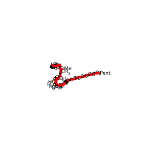 CCCCCOCCOCCOCCOCCOCCOCCOCCOCCOC1CCC(CCC(CCC(C)/C=C(\C)C(O)CC(=O)C(C)CC(C)/C=C/C=C/C=C(\C)C(CC2CCC[C@](O)(C(=O)C(=O)N3CCCCC3)O2)OC)OC=O)CC1